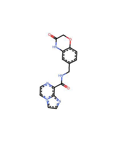 O=C1COc2ccc(CNC(=O)c3nccn4ccnc34)cc2N1